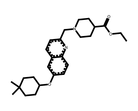 CCOC(=O)C1CCN(Cc2ccc3cc(OC4CCC(C)(C)CC4)ccc3n2)CC1